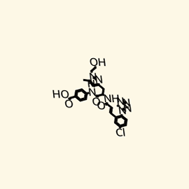 Cc1cc(CC(NC(=O)C=Cc2cc(Cl)ccc2-n2cnnn2)C(=O)Nc2ccc(C(=O)O)cc2)nn1CCO